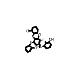 N#Cc1cccc(Nc2cc(Cl)c(Sc3ccccc3Cl)c(Sc3ccccc3Cl)c2)c1C#N